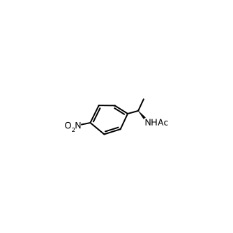 CC(=O)N[C@H](C)c1ccc([N+](=O)[O-])cc1